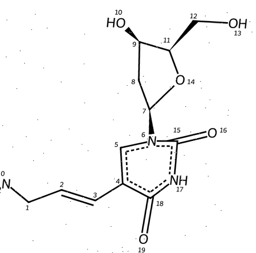 NC/C=C/c1cn([C@H]2C[C@@H](O)[C@@H](CO)O2)c(=O)[nH]c1=O